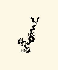 CCCN(CCC)CCCCc1nc2cc(CN(CC3=NCCN3C)Cc3ncc[nH]3)ccc2o1